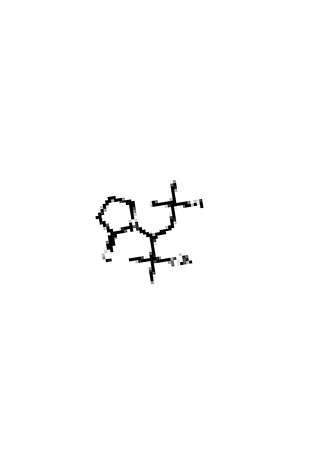 CCCCC(C)(C)C(CC(C)(C)CC)N1CCCC1=O